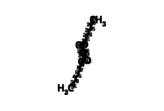 CCCCCCCCCCOC(=O)c1ccc(C(=O)OCCCCCCCCC)cc1